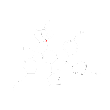 CCC(C)COc1ccc(C(O)(c2ccc(OCC(C)C)cc2)c2cc(-c3ccsc3)c(C(O)(c3ccc(OCC(C)C)cc3)c3ccc(OCC(C)C)cc3)cc2-c2ccsc2)cc1